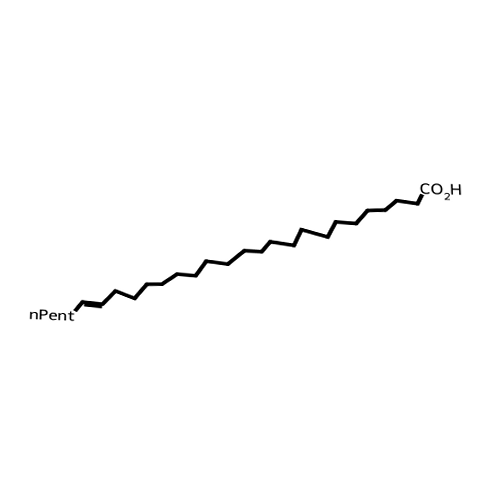 CCCCCC=CCCCCCCCCCCCCCCCCCCCCC(=O)O